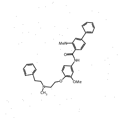 CNc1cc(-c2ccccc2)ccc1C(=O)Nc1ccc(OCCN(C)CCc2ccccc2)c(OC)c1